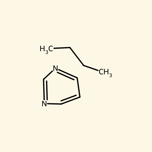 CCCC.c1cncnc1